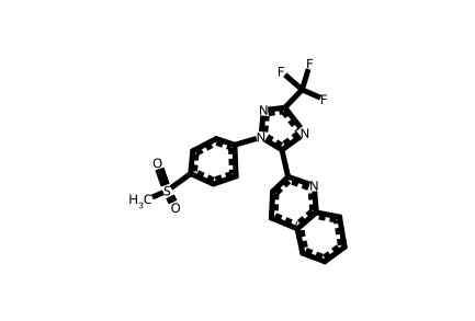 CS(=O)(=O)c1ccc(-n2nc(C(F)(F)F)nc2-c2ccc3ccccc3n2)cc1